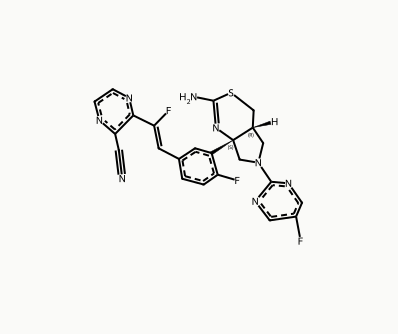 N#Cc1nccnc1C(F)=Cc1ccc(F)c([C@]23CN(c4ncc(F)cn4)C[C@H]2CSC(N)=N3)c1